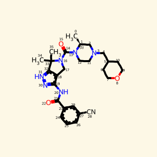 C[C@H]1CN(CC2CCOCC2)CCN1C(=O)N1Cc2c(NC(=O)c3cccc(C#N)c3)n[nH]c2C1(C)C